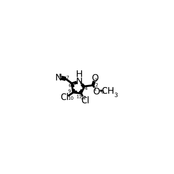 COC(=O)c1[nH]c(C#N)c(Cl)c1Cl